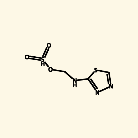 O=[SH](=O)OCNc1nncs1